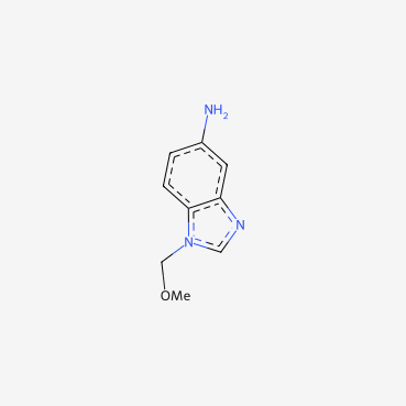 COCn1cnc2cc(N)ccc21